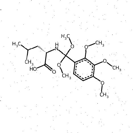 COc1ccc(C(N[C@@H](CC(C)C)C(=O)O)(OC)OC)c(OC)c1OC